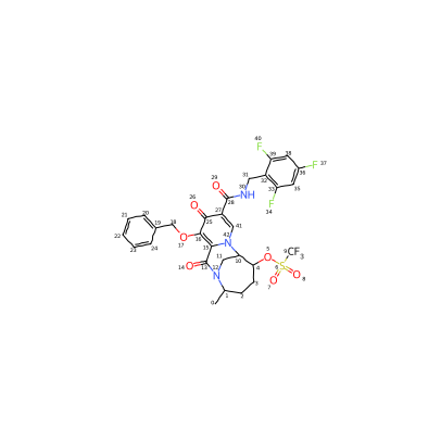 CC1CCC(OS(=O)(=O)C(F)(F)F)C2CN1C(=O)c1c(OCc3ccccc3)c(=O)c(C(=O)NCc3c(F)cc(F)cc3F)cn12